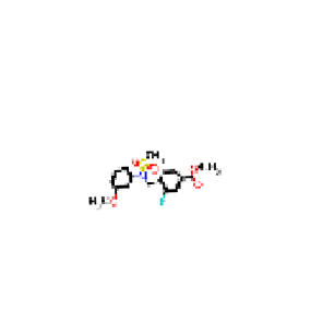 COC(=O)c1ccc(CN(c2cccc(OC)c2)S(C)(=O)=O)c(F)c1